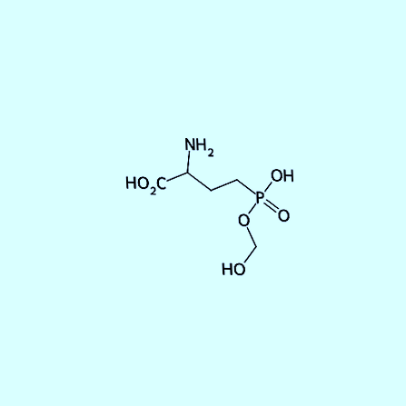 NC(CCP(=O)(O)OCO)C(=O)O